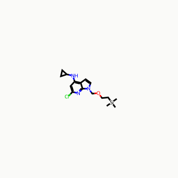 C[Si](C)(C)CCOCn1ccc2c(NC3CC3)cc(Cl)nc21